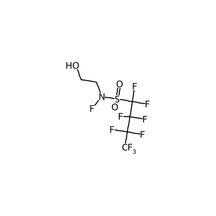 O=S(=O)(N(F)CCO)C(F)(F)C(F)(F)C(F)(F)C(F)(F)F